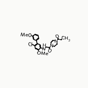 C=CC(=O)N1CCN(C(=O)CNc2cc(-c3cccc(OC)c3)c(Cl)cc2OC)CC1